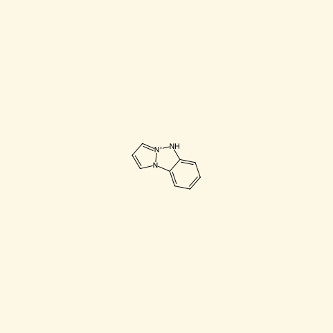 c1ccc2c(c1)[nH][n+]1cccn21